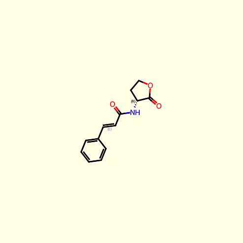 O=C(/C=C/c1ccccc1)N[C@@H]1CCOC1=O